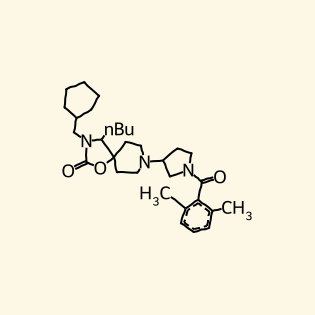 CCCCC1N(CC2CCCCC2)C(=O)OC12CCN(C1CCN(C(=O)c3c(C)cccc3C)C1)CC2